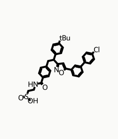 CC(C)(C)c1ccc(C(Cc2ccc(C(=O)NCCS(=O)O)cc2)c2cc(-c3cccc(-c4ccc(Cl)cc4)c3)on2)cc1